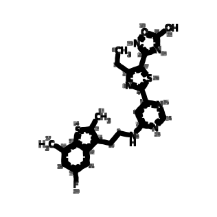 CCc1nc(-c2cc(NCCc3c(C)sc4c(C)cc(F)cc34)ncn2)sc1-c1noc(O)n1